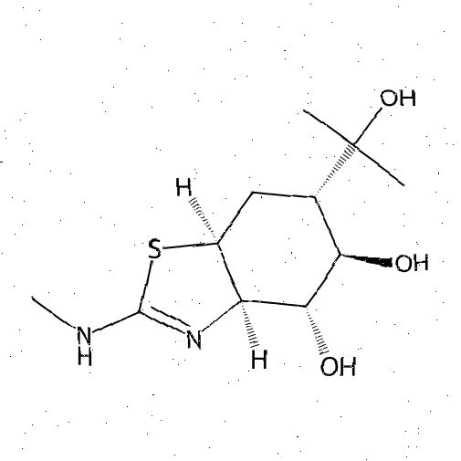 CNC1=N[C@@H]2[C@@H](O)[C@H](O)[C@@H](C(C)(C)O)C[C@@H]2S1